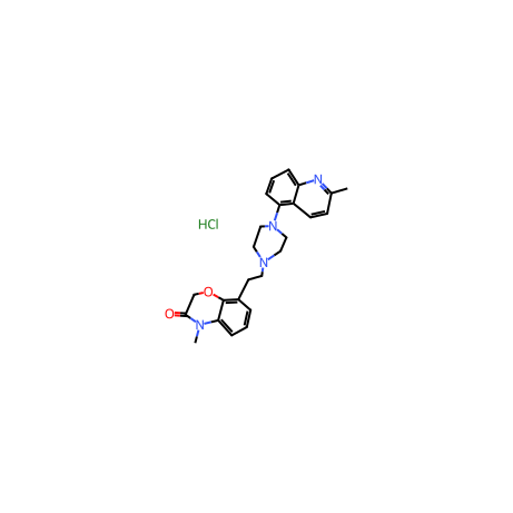 Cc1ccc2c(N3CCN(CCc4cccc5c4OCC(=O)N5C)CC3)cccc2n1.Cl